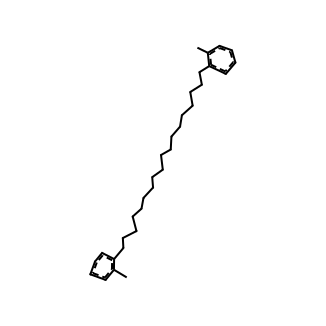 Cc1ccccc1CCCCCCCCCCCCCCCCCCc1ccccc1C